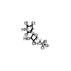 CCn1cc([C@@H]2O[C@H](COP(=O)(Cl)Cl)C(O)[C@@H]2O)c(=O)[nH]c1=O